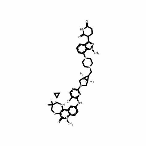 Cn1nc(C2CCC(=O)NC2=O)c2cccc(N3CCN(CC4[C@H]5CN(c6ncc(Cl)c(Nc7ccc8c(c7)c7c(c(=O)n8C)OCC(F)(F)[C@H](C8CC8)N7)n6)C[C@@H]45)CC3)c21